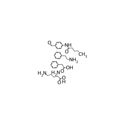 CCCCC(=O)Nc1ccc(C=O)cc1.NCCC[C@H](N)C(=O)O.NCCc1ccccc1.O=C(O)Cc1ccccc1